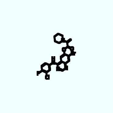 C=C(C(=O)Oc1cc2c(Nc3ccc(F)c(Cl)c3)ncnc2cc1Br)N1CCCCC1